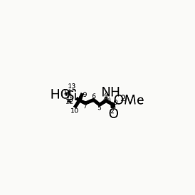 COC(=O)[C@H](N)CCCC(C)(C)[Si](C)(C)O